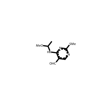 COC(C)Nc1nc(SC)ncc1C=O